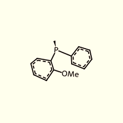 COc1ccccc1[P@@](C)c1ccccc1